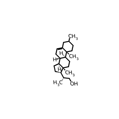 CC1CC[C@@]2(C)C(=CC[C@H]3[C@@H]4CC[C@H]([C@@H](C)CO)[C@@]4(C)CC[C@@H]32)C1